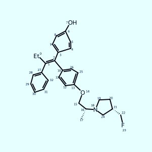 CC/C(=C(\c1ccc(O)cc1)c1ccc(OC[C@@H](C)N2CC[C@H](CF)C2)cc1)c1ccccc1